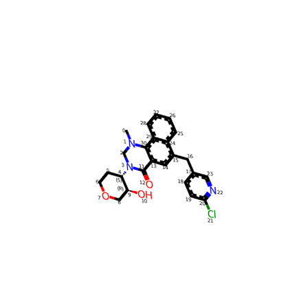 CN1CN([C@H]2CCOC[C@@H]2O)C(=O)c2cc(Cc3ccc(Cl)nc3)c3ccccc3c21